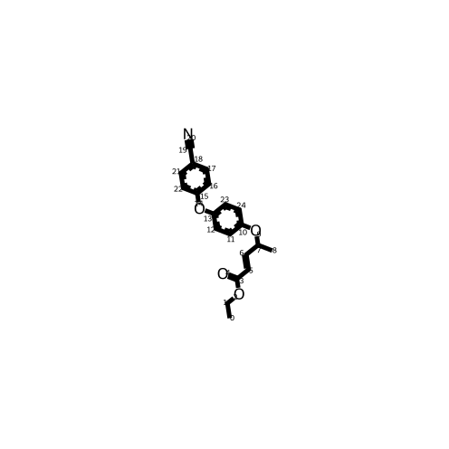 CCOC(=O)C=CC(C)Oc1ccc(Oc2ccc(C#N)cc2)cc1